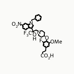 COc1cc(CCC(=O)O)cc(F)c1OC1CCN(CC(O)(c2cn(Cc3ccccc3)c3cc([N+](=O)[O-])ccc23)C(F)(F)F)CC1